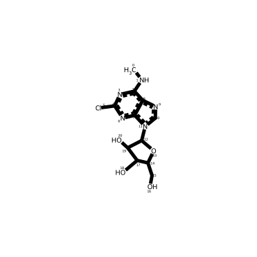 CNc1nc(Cl)nc2c1ncn2C1OC(CO)C(O)C1O